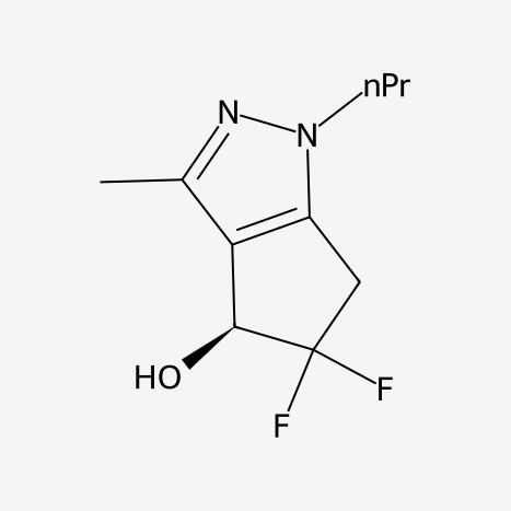 CCCn1nc(C)c2c1CC(F)(F)[C@H]2O